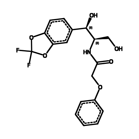 O=C(COc1ccccc1)N[C@H](CO)[C@H](O)c1ccc2c(c1)OC(F)(F)O2